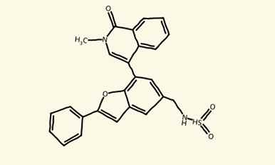 Cn1cc(-c2cc(CN[SH](=O)=O)cc3cc(-c4ccccc4)oc23)c2ccccc2c1=O